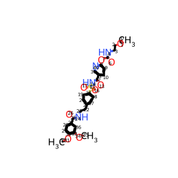 COCCNC(=O)Oc1ccc(C(=O)NS(=O)(=O)c2ccc(CCNC(=O)c3ccc(OC)c(OC)c3)cc2)cn1